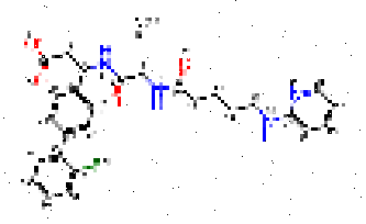 O=C([O-])CC(NC(=O)CNC(=O)CCCCNc1ccccn1)c1ccc(-c2ccccc2F)cc1.[Na+]